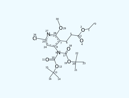 CCOC(=O)CCc1c(N(C(=O)OC(C)(C)C)C(=O)OC(C)(C)C)cc(Cl)nc1OC